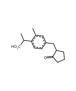 Cc1cc(CC2CCCC2=O)ccc1C(C)C(=O)O